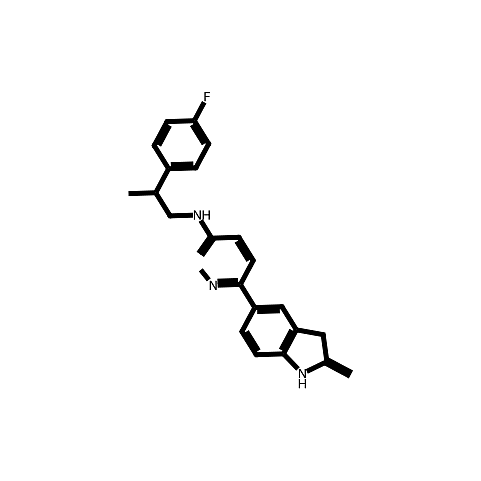 C=C(/C=C\C(=N/C)c1ccc2c(c1)CC(=C)N2)NCC(C)c1ccc(F)cc1